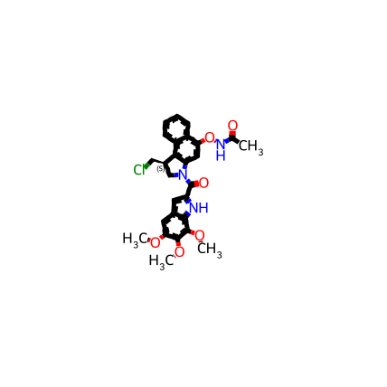 COc1cc2cc(C(=O)N3C[C@@H](CCl)c4c3cc(ONC(C)=O)c3ccccc43)[nH]c2c(OC)c1OC